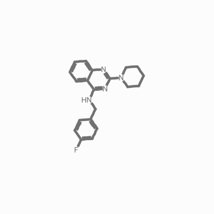 Fc1ccc(CNc2nc(N3CCCCC3)nc3ccccc23)cc1